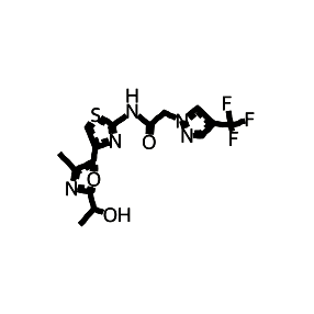 Cc1nc(C(C)O)oc1-c1csc(NC(=O)Cn2cc(C(F)(F)F)cn2)n1